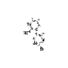 N#Cc1ncccc1-c1cnc(Br)nc1